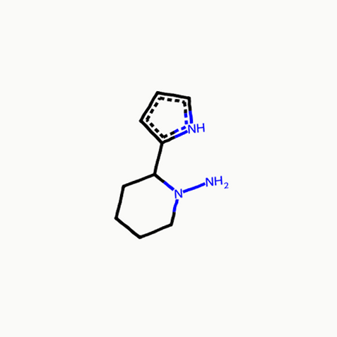 NN1CCCCC1c1ccc[nH]1